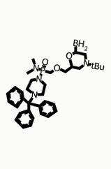 BC1CN(C(C)(C)C)CC(COCP(=O)(N(C)C)N2CCN(C(c3ccccc3)(c3ccccc3)c3ccccc3)CC2)O1